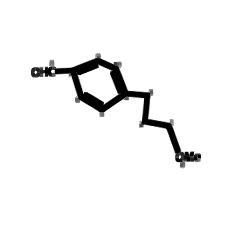 COCCCc1ccc(C=O)cc1